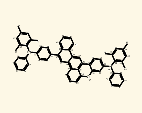 Cc1cc(C)c(N(c2ccccc2)c2ccc(-c3cc4c5cccc6c5c(cc4c4ccccc34)-c3ccc(N(c4ccccc4)c4c(C)cc(C)cc4C)cc3O6)cc2)c(C)c1